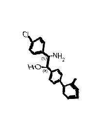 Cc1ccccc1-c1ccc([C@@H](O)[C@@H](N)c2ccc(Cl)cc2)cc1